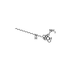 CCCCCCCCCCCCCCCCNCCCC[C@H]1CC[C@H]2[C@H]3C(CC[C@]12C)[C@@]1(C)CCCC[C@H]1C[C@H]3OCCCN